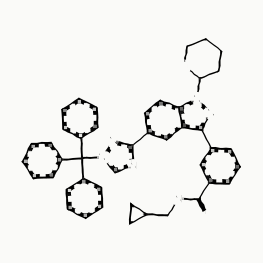 O=C(NCC1CC1)c1cccc(-c2nn(C3CCCCO3)c3ccc(-c4ncn(C(c5ccccc5)(c5ccccc5)c5ccccc5)n4)cc23)c1